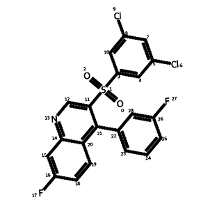 O=S(=O)(c1cc(Cl)cc(Cl)c1)c1cnc2cc(F)ccc2c1-c1cccc(F)c1